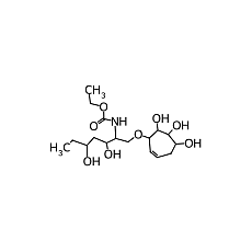 CCOC(=O)NC(COC1C=CCC(O)C(O)C1O)C(O)CC(O)CC